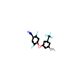 Cc1cc(Oc2cc(F)c(C#N)cc2F)cc(C(F)(F)F)c1